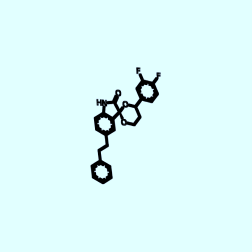 O=C1Nc2ccc(CCc3ccccc3)cc2[C@]12OCCC(c1ccc(F)c(F)c1)O2